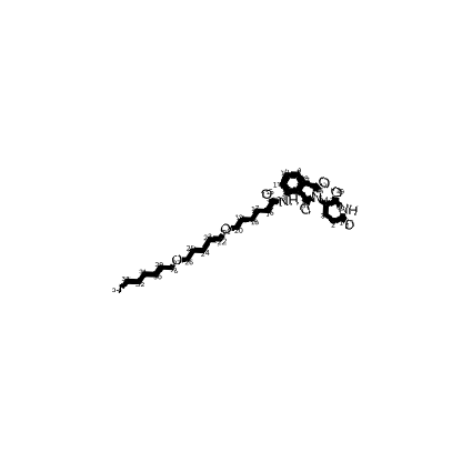 O=C1CCC(N2C(=O)c3cccc(NC(=O)CCCCCOCCCCCOCCCCCCI)c3C2=O)C(=O)N1